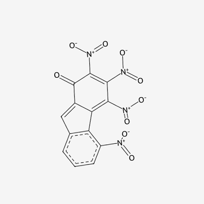 O=C1C2=Cc3cccc([N+](=O)[O-])c3C2=C([N+](=O)[O-])C([N+](=O)[O-])=C1[N+](=O)[O-]